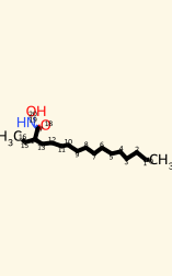 CCCCCCCCCCCCCCC(CC)C(=O)NO